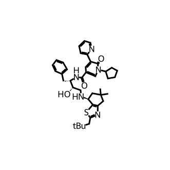 CC(C)(C)Cc1nc2c(s1)[C@@H](NC[C@H](O)[C@H](Cc1ccccc1)NC(=O)c1cc(-c3ccccn3)c(=O)n(C3CCCC3)c1)CC(C)(C)C2